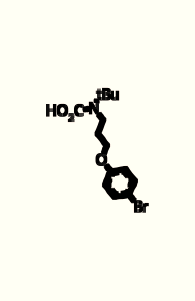 CC(C)(C)N(CCCOc1ccc(Br)cc1)C(=O)O